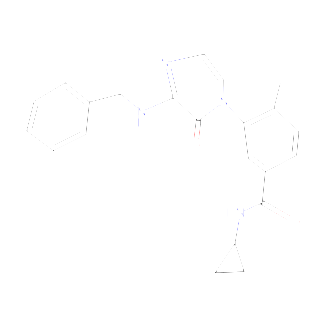 Cc1ccc(C(=O)NC2CC2)cc1-n1ccnc(NCc2ccccc2)c1=O